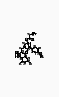 CCOc1ccc(NC(=O)N(CCOC(=O)CC(C)C)Cc2cc3cc(C)cc(C)c3[nH]c2=O)cc1